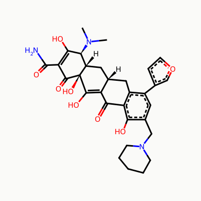 CN(C)[C@@H]1C(O)=C(C(N)=O)C(=O)[C@@]2(O)C(O)=C3C(=O)c4c(O)c(CN5CCCCC5)cc(-c5ccoc5)c4C[C@H]3C[C@@H]12